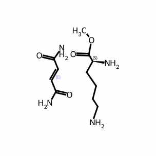 COC(=O)[C@@H](N)CCCCN.NC(=O)/C=C/C(N)=O